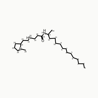 CCCCCCCCCCCCCC(C)NC(=O)CCNCCC1CCCN1C